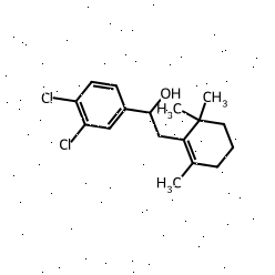 CC1=C(CC(O)c2ccc(Cl)c(Cl)c2)C(C)(C)CCC1